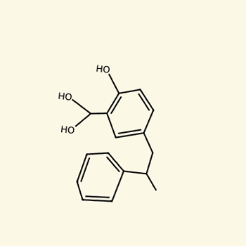 CC(Cc1ccc(O)c(C(O)O)c1)c1ccccc1